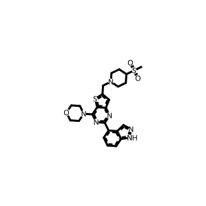 CS(=O)(=O)C1CCN(Cc2cc3nc(-c4cccc5[nH]ncc45)nc(N4CCOCC4)c3s2)CC1